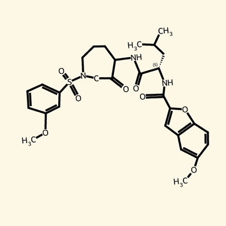 COc1cccc(S(=O)(=O)N2CCCC(NC(=O)[C@H](CC(C)C)NC(=O)c3cc4cc(OC)ccc4o3)C(=O)C2)c1